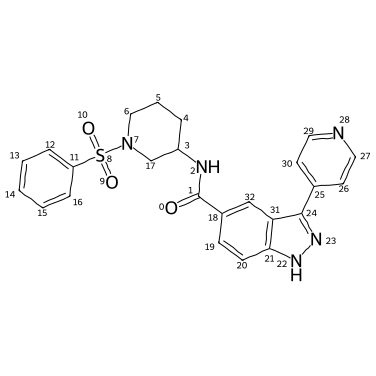 O=C(NC1CCCN(S(=O)(=O)c2ccccc2)C1)c1ccc2[nH]nc(-c3ccncc3)c2c1